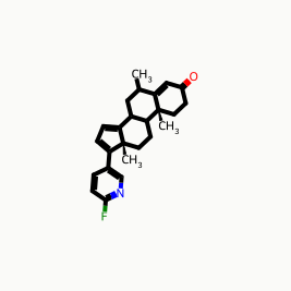 CC1CC2C3=CC=C(c4ccc(F)nc4)[C@@]3(C)CCC2[C@@]2(C)CCC(=O)C=C12